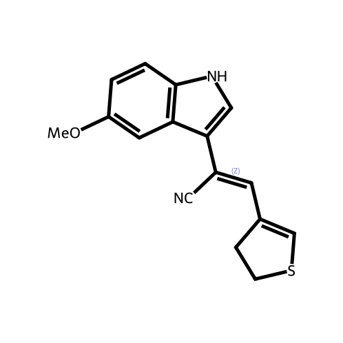 COc1ccc2[nH]cc(/C(C#N)=C/C3=CSCC3)c2c1